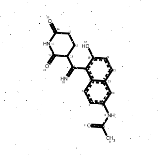 CC(=O)Nc1ccc2c(C(=N)C3CCC(=O)NC3=O)c(O)ccc2c1